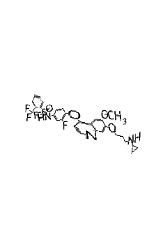 COc1cc2c(Oc3ccc(NS(=O)(=O)c4ccccc4C(F)(F)F)cc3F)ccnc2cc1OCCCNC1CC1